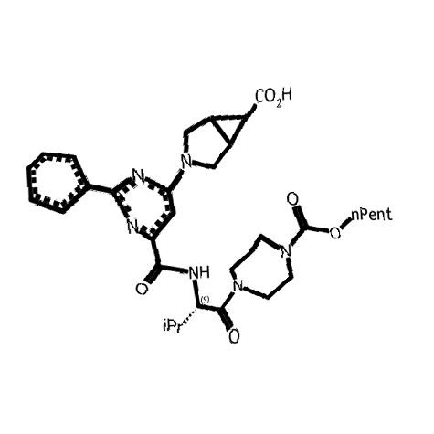 CCCCCOC(=O)N1CCN(C(=O)[C@@H](NC(=O)c2cc(N3CC4C(C3)C4C(=O)O)nc(-c3ccccc3)n2)C(C)C)CC1